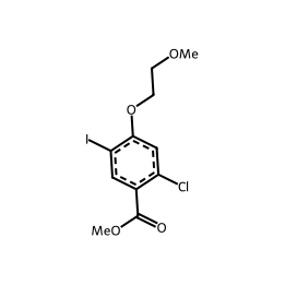 COCCOc1cc(Cl)c(C(=O)OC)cc1I